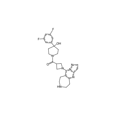 O=C(C1CN(c2c3c(nc4ccnn24)CCNCC3)C1)N1CCC(O)(c2cc(F)cc(F)c2)CC1